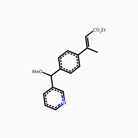 CCOC(=O)C=C(C)c1ccc(C(OC)c2cccnc2)cc1